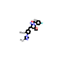 COc1cc(/C=C2\CC3(CCO3)CN3C2=NOC3(C)c2ccc(F)cc2)ccc1-n1cnc(C)c1